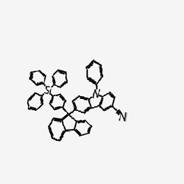 N#Cc1ccc2c(c1)c1cc(C3(c4ccc([Si](c5ccccc5)(c5ccccc5)c5ccccc5)cc4)c4ccccc4-c4ccccc43)ccc1n2-c1ccccc1